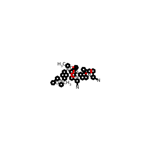 Cc1cccc(N(c2ccc3ccc4c(N(c5ccccc5C)c5cccc6c5oc5ccccc56)ccc5ccc2c3c54)c2cc(-c3cccc(-c4cc(C#N)ccc4N(c4ccc5ccc6c(N(c7ccc(C#N)cc7-c7ccccc7)c7cccc8c7oc7ccccc78)ccc7ccc4c5c76)c4cccc5c4oc4ccccc45)c3)cc3c2oc2ccccc23)c1